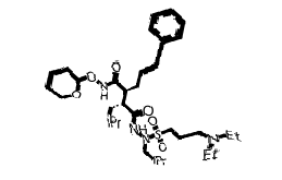 CCN(CC)CCCS(=O)(=O)N(CC(C)C)NC(=O)[C@H](CC(C)C)[C@H](CC=Cc1ccccc1)C(=O)NOC1CCCCO1